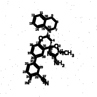 CN1O[C@@]2(CC([C@H]3CCCc4ccccc43)Oc3ccc(-c4ccc(F)c(C#N)c4)cc32)N=C1N